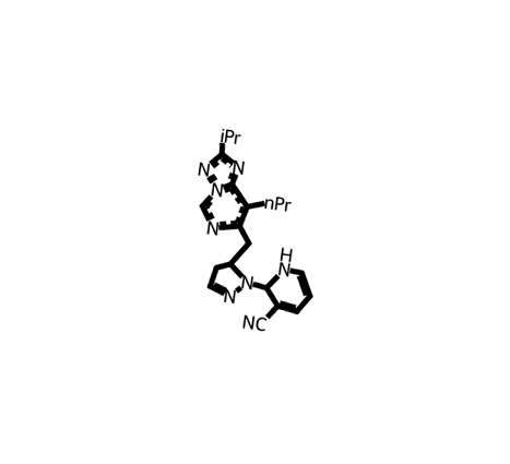 CCCc1c(CC2CC=NN2C2NC=CC=C2C#N)ncn2nc(C(C)C)nc12